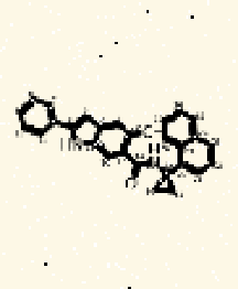 Cc1cc2cc(-c3ccccc3)[nH]c2cc1C(=O)NC1(c2cccc3ccccc23)CC1